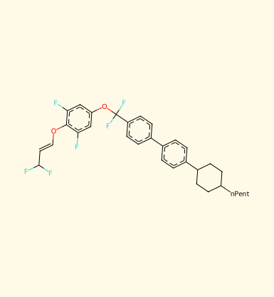 CCCCCC1CCC(c2ccc(-c3ccc(C(F)(F)Oc4cc(F)c(O/C=C/C(F)F)c(F)c4)cc3)cc2)CC1